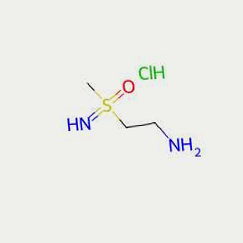 CS(=N)(=O)CCN.Cl